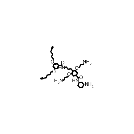 C#CCCCCOc1cc(OCCCCC#C)cc(C(=O)NCCCc2c(OCCCN)cc(C(=O)N[C@H]3CCC[C@@H](N)C3)cc2OCCCN)c1